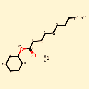 CCCCCCCCCCCCCCCCCC(=O)OC1CCCCC1.[Ag]